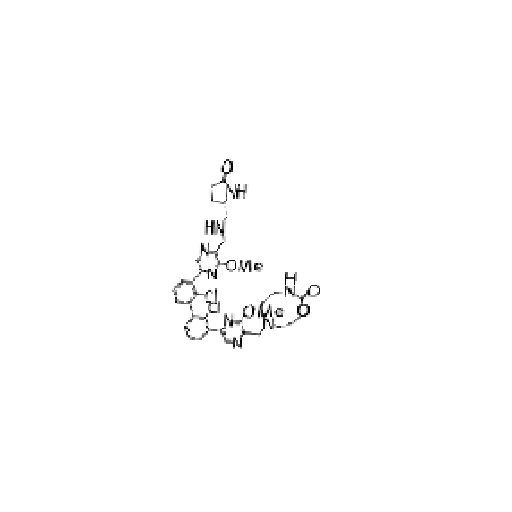 COc1nc(-c2cccc(-c3cccc(-c4cnc(CN5CCCNC(=O)OCC5)c(OC)n4)c3Cl)c2Cl)cnc1CNC[C@@H]1CCC(=O)N1